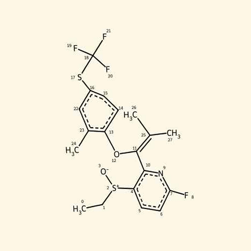 CC[S+]([O-])c1ccc(F)nc1C(Oc1ccc(SC(F)(F)F)cc1C)=C(C)C